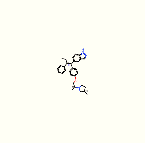 CC/C(=C(/c1ccc(OC[C@H](C)N2CC[C@@H](C)C2)cc1)c1ccc2[nH]ncc2c1)c1ccccc1